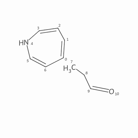 C1=CC=CNC=C1.CCC=O